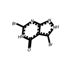 O=c1[nH]c(Br)nc2n[nH]c(Br)c12